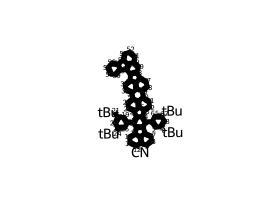 CC(C)(C)c1cc(-c2c3c4cccc5c(C#N)ccc(c3c(-c3cc(C(C)(C)C)cc(C(C)(C)C)c3)c3c6ccc7c8ccc9c%10c(ccc(c%11ccc(c23)c6c%117)c8%10)c2cc3cccc6c7ccccc7c(c36)c29)c54)cc(C(C)(C)C)c1